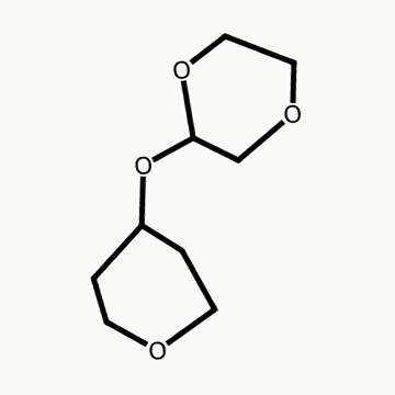 C1CC(OC2COCCO2)CCO1